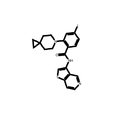 O=C(Nc1csc2ccncc12)c1ccc(I)cc1N1CCC2(CC1)CC2